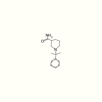 CC(C)(c1ccccc1)N1CCCC(C(N)=O)C1